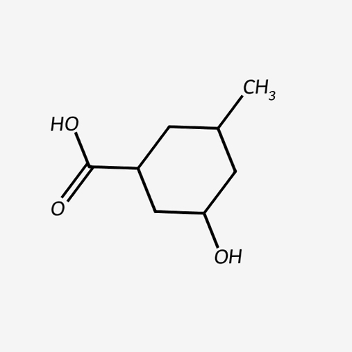 CC1CC(O)CC(C(=O)O)C1